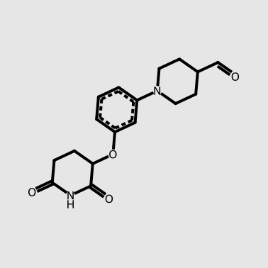 O=CC1CCN(c2cccc(OC3CCC(=O)NC3=O)c2)CC1